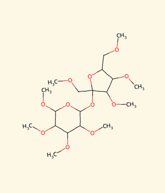 COCC1OC(COC)(OC2OC(OC)C(OC)C(OC)C2OC)C(OC)C1OC